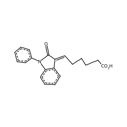 O=C(O)CCCC/C=C1/C(=O)N(c2ccccc2)c2ccccc21